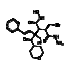 CC(C)C[C@@H](C(=O)NN)[C@H](C(=O)NO)C(/C=C/c1ccccc1)(CC(C)C)C(=O)C1CCOCC1